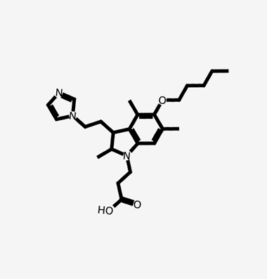 CCCCCOc1c(C)cc2c(c1C)C(CCn1ccnc1)C(C)N2CCC(=O)O